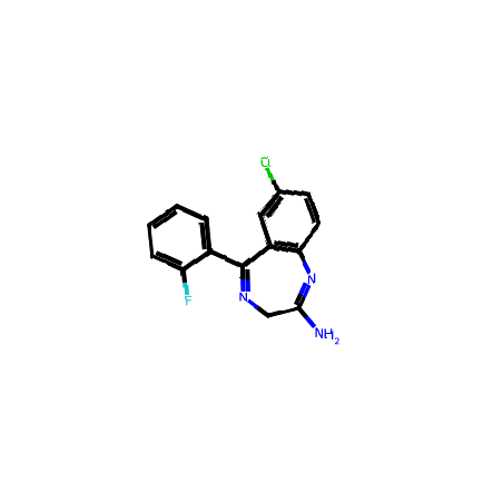 NC1=Nc2ccc(Cl)cc2C(c2ccccc2F)=NC1